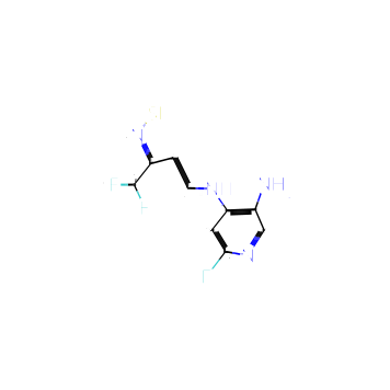 Nc1cnc(F)cc1N/C=C/C(=N\S)C(F)F